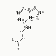 CN(C)CCNc1nncc2cncn12